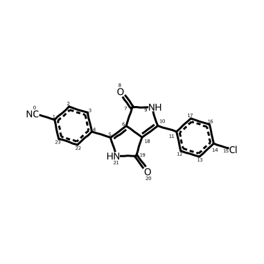 N#Cc1ccc(C2=C3C(=O)NC(c4ccc(Cl)cc4)=C3C(=O)N2)cc1